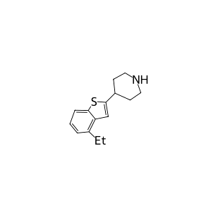 CCc1cccc2sc(C3CCNCC3)cc12